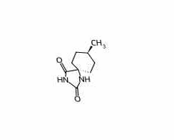 C[C@H]1CC[C@]2(CC1)NC(=O)NC2=O